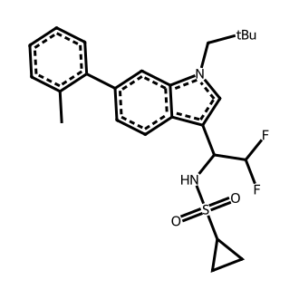 Cc1ccccc1-c1ccc2c(C(NS(=O)(=O)C3CC3)C(F)F)cn(CC(C)(C)C)c2c1